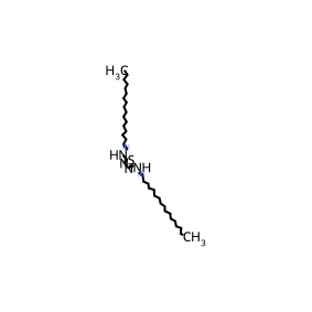 CCCCCCCCCCCCCCCC/C=C/Nc1nnc(N/C=C/CCCCCCCCCCCCCCCC)s1